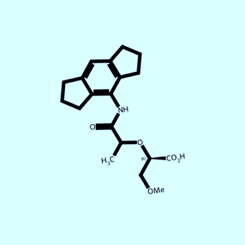 COC[C@@H](OC(C)C(=O)Nc1c2c(cc3c1CCC3)CCC2)C(=O)O